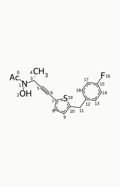 CC(=O)N(O)[C@H](C)C#Cc1ccc(Cc2ccc(F)cc2)s1